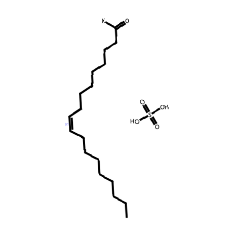 CCCCCCCC/C=C\CCCCCCC[C](=O)[K].O=S(=O)(O)O